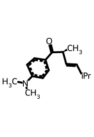 CC(C)/C=C/[C@H](C)C(=O)c1ccc(N(C)C)cc1